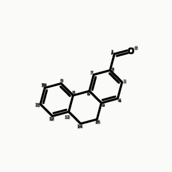 O=[C]c1ccc2c(c1)-c1ccccc1CC2